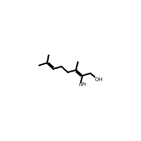 CCC/C(CO)=C(/C)CCC=C(C)C